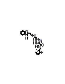 N=C(/N=C\NCCNCCc1nc2ccccc2[nH]1)C(=O)NCc1ncccc1F